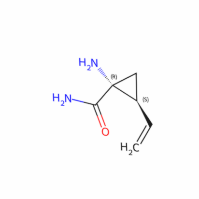 C=C[C@@H]1C[C@]1(N)C(N)=O